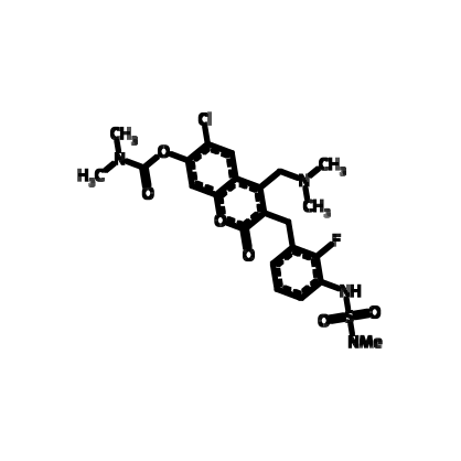 CNS(=O)(=O)Nc1cccc(Cc2c(CN(C)C)c3cc(Cl)c(OC(=O)N(C)C)cc3oc2=O)c1F